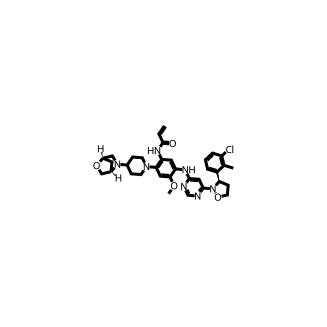 C=CC(=O)Nc1cc(Nc2cc(N3OCC[C@@H]3c3cccc(Cl)c3C)ncn2)c(OC)cc1N1CCC(N2C[C@H]3C[C@@H]2CO3)CC1